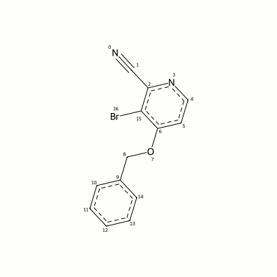 N#Cc1nccc(OCc2ccccc2)c1Br